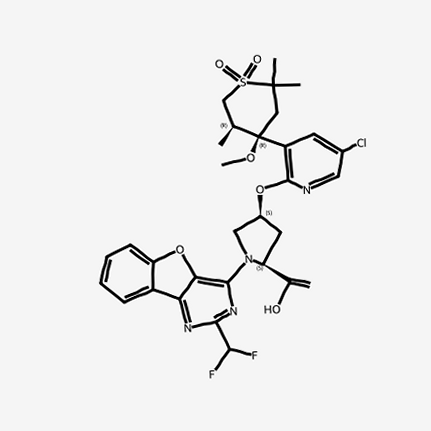 C=C(O)[C@@H]1C[C@H](Oc2ncc(Cl)cc2[C@@]2(OC)CC(C)(C)S(=O)(=O)C[C@@H]2C)CN1c1nc(C(F)F)nc2c1oc1ccccc12